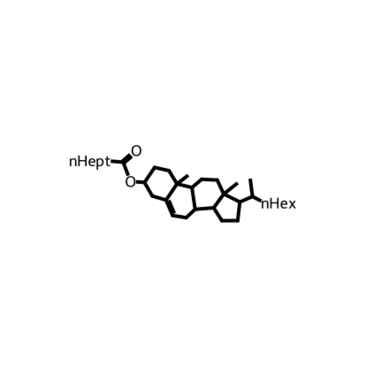 CCCCCCCC(=O)OC1CCC2(C)C(=CCC3C2CCC2(C)C(C(C)CCCCCC)CCC32)C1